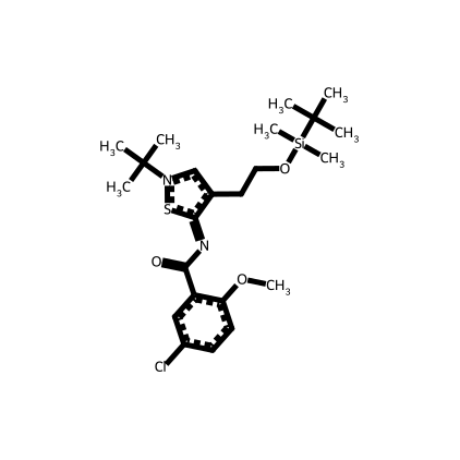 COc1ccc(Cl)cc1C(=O)N=c1sn(C(C)(C)C)cc1CCO[Si](C)(C)C(C)(C)C